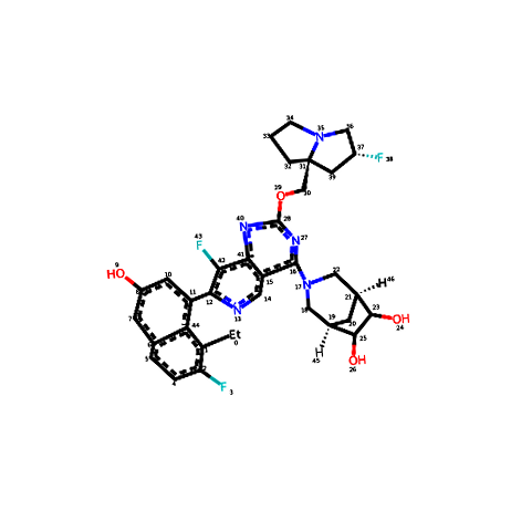 CCc1c(F)ccc2cc(O)cc(-c3ncc4c(N5C[C@H]6C[C@@H](C5)C(O)C6O)nc(OC[C@@]56CCCN5C[C@H](F)C6)nc4c3F)c12